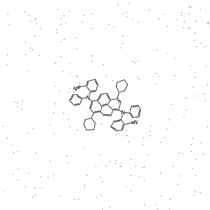 N#Cc1ccccc1N(c1ccccc1)c1cc(C2CCCCC2)c2ccc3c(N(c4ccccc4)c4ccccc4C#N)cc(C4CCCCC4)c4ccc1c2c43